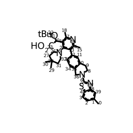 Cc1ccc2sc(N3CCc4cc(-c5c(C)nc(C)c(C(OC(C)(C)C)C(=O)O)c5N5CCC(C)(C)CC5)ccc4C3)nc2c1